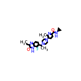 CCc1nc2ccc(C(C)N3CCN(c4ccc(C(=O)NC5CC5)nc4C)CC3)c(F)c2[nH]c1=O